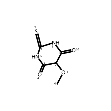 COC1C(=O)NC(=S)NC1=O